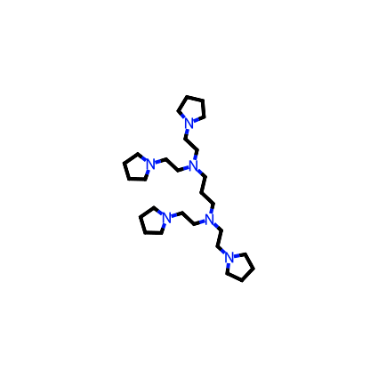 C1CCN(CCN(CCCN(CCN2CCCC2)CCN2CCCC2)CCN2CCCC2)C1